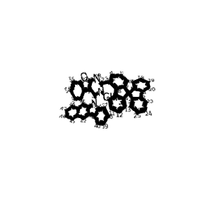 CN1C(c2cccc3c2-c2ccccc2C32c3ccccc3-c3ccccc32)=Nc2oc3c(c2C1n1c2ccccc2c2cc4ccccc4cc21)CCC=C3